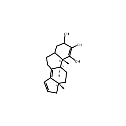 C[C@@]12CC=CC1=C1CCC3CC(O)C(O)=C(O)[C@]3(C)[C@H]1CC2